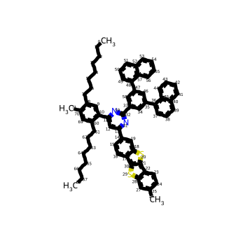 CCCCCCCCc1cc(-c2cc(-c3ccc4c(c3)sc3c5ccc(C)cc5sc43)nc(-c3cc(-c4cccc5ccccc45)cc(-c4cccc5ccccc45)c3)n2)c(CCCCCCCC)cc1C